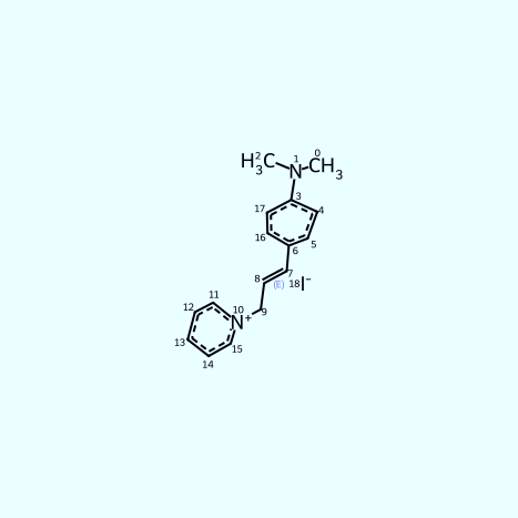 CN(C)c1ccc(/C=C/C[n+]2ccccc2)cc1.[I-]